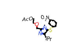 CC(=O)OCCOCc1nc(C(C)C)c(Sc2cccc([N+](=O)[O-])c2)n1C